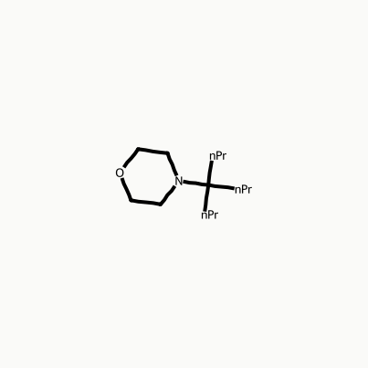 CCCC(CCC)(CCC)N1CCOCC1